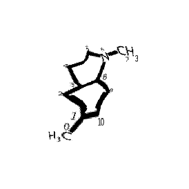 CC1=CC2CCN(C)C2C=C1